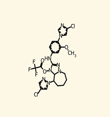 COc1cc(NC2=NN3CCCCC(n4cc(Cl)cn4)C3N2OC(=O)C(F)(F)F)ccc1-n1cnc(Cl)c1